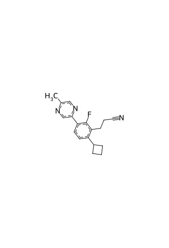 Cc1cnc(-c2ccc(C3CCC3)c(CCC#N)c2F)cn1